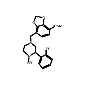 CCCN1CCN(Cc2ccc(OC)c3c2OCO3)CC1c1ccccc1C(C)C